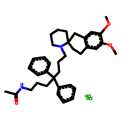 COc1cc2c(cc1OC)CC1(CCCCN1CCCC(CCCNC(C)=O)(c1ccccc1)c1ccccc1)CC2.Cl.Cl